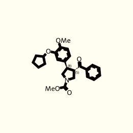 COC(=O)N1C[C@@H](C(=O)c2ccccc2)[C@H](c2ccc(OC)c(OC3CCCC3)c2)C1